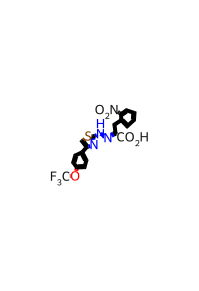 O=C(O)/C(Cc1ccccc1[N+](=O)[O-])=N/Nc1nc(-c2ccc(OC(F)(F)F)cc2)cs1